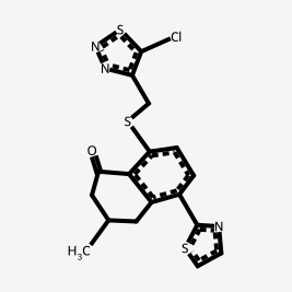 CC1CC(=O)c2c(SCc3nnsc3Cl)ccc(-c3nccs3)c2C1